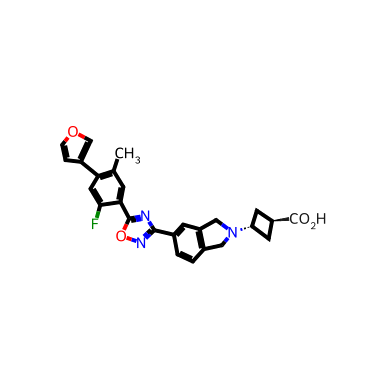 Cc1cc(-c2nc(-c3ccc4c(c3)CN([C@H]3C[C@H](C(=O)O)C3)C4)no2)c(F)cc1-c1ccoc1